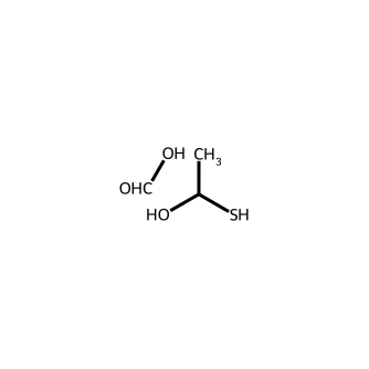 CC(O)S.O=CO